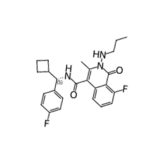 CCCNn1c(C)c(C(=O)N[C@H](c2ccc(F)cc2)C2CCC2)c2cccc(F)c2c1=O